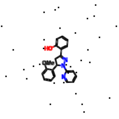 COc1ccccc1C1CC(c2ccccc2O)=NN1c1ccccn1